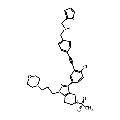 CS(=O)(=O)N1CCc2c(c(-c3ccc(Cl)c(C#Cc4ccc(CNCc5cccs5)cc4)c3)nn2CCCN2CCOCC2)C1